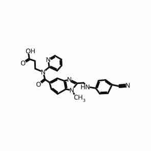 Cn1c(CNc2ccc(C#N)cc2)nc2cc(C(=O)N(CCC(=O)O)c3ccccn3)ccc21